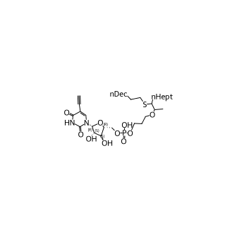 C#Cc1cn([C@@H]2O[C@H](COP(=O)(O)OCCCOC(C)C(CCCCCCC)SCCCCCCCCCCCC)[C@@H](O)[C@@H]2O)c(=O)[nH]c1=O